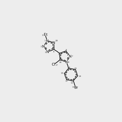 CCn1nnc(-c2cnn(-c3ccc(Br)cc3)c2Cl)n1